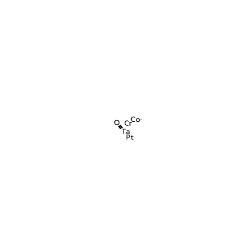 [Co].[Cr].[O]=[Ta].[Pt]